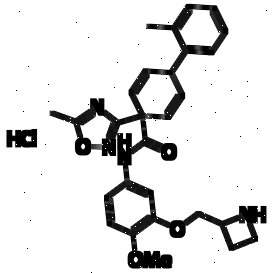 COc1ccc(NC(=O)C2(c3noc(C)n3)C=CC(c3ccccc3C)C=C2)cc1OCC1CCN1.Cl